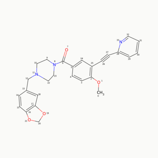 COc1ccc(C(=O)N2CCN(Cc3ccc4c(c3)OCO4)CC2)cc1C#Cc1ccccn1